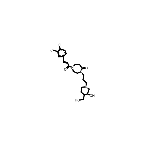 O=C(/C=C/c1ccc(Cl)c(Cl)c1)N1CCC(=O)N(CCCN2CCC(CO)C(O)C2)CC1